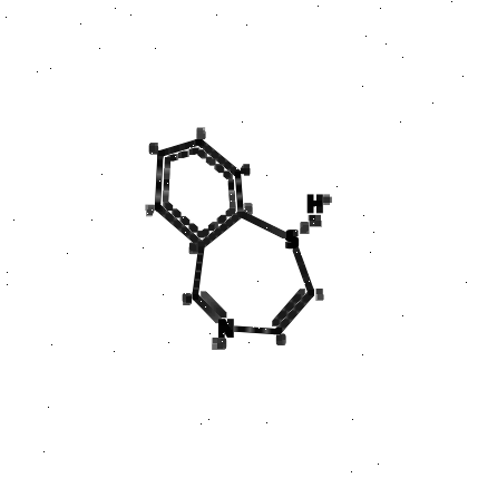 C1=CSc2ccccc2C=N1.[H+]